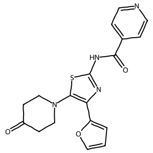 O=C1CCN(c2sc(NC(=O)c3ccncc3)nc2-c2ccco2)CC1